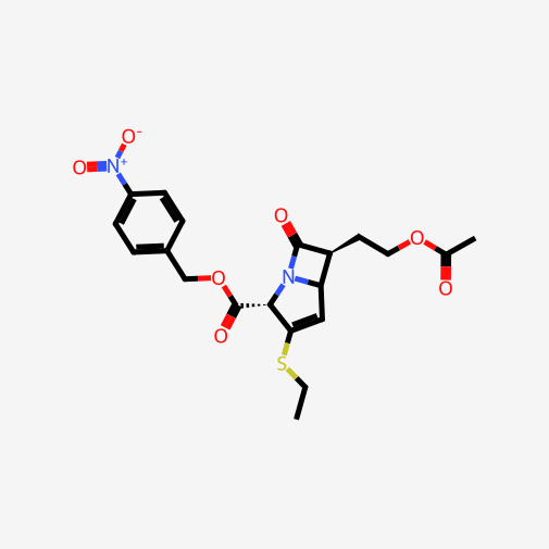 CCSC1=CC2[C@H](CCOC(C)=O)C(=O)N2[C@H]1C(=O)OCc1ccc([N+](=O)[O-])cc1